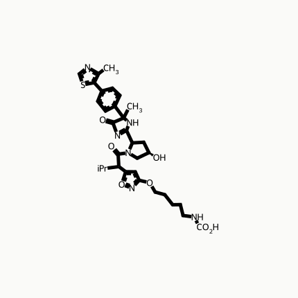 Cc1ncsc1-c1ccc(C2(C)NC(C3C[C@@H](O)CN3C(=O)C(c3cc(OCCCCCNC(=O)O)no3)C(C)C)=NC2=O)cc1